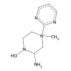 C[N+]1(c2ncccn2)CCN(O)C(N)C1